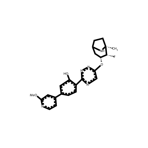 COc1cc(-c2ccc(-c3ncc(O[C@@H]4CC5CC[C@](C)(N5)[C@@H]4F)nn3)c(O)c2)ccn1